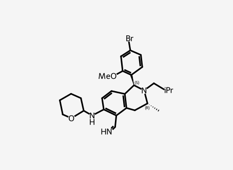 COc1cc(Br)ccc1[C@@H]1c2ccc(NC3CCCCO3)c(C=N)c2C[C@@H](C)N1CC(C)C